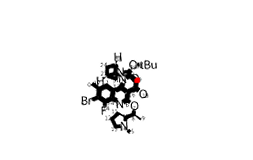 Cc1cc2c(nc(O[C@@H](C)[C@@H]3CCCN3C)c3c(=O)ccn(C4[C@@H]5C[C@H]4N(C(=O)OC(C)(C)C)C5)c32)c(F)c1Br